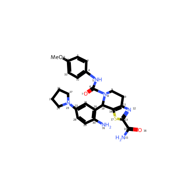 COc1ccc(NC(=O)N2CCc3nc(C(N)=O)sc3C2c2cc(N3CCCC3)ccc2N)cc1